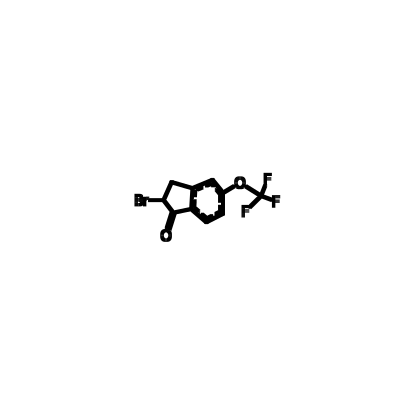 O=C1c2ccc(OC(F)(F)F)cc2CC1Br